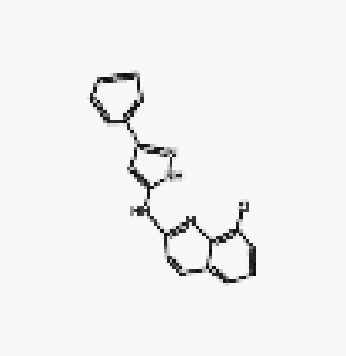 Clc1cccc2ccc(Nc3cc(-c4ccccc4)n[nH]3)nc12